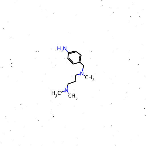 CN(C)CCCN(C)Cc1ccc(N)cc1